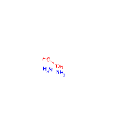 N.N.OO